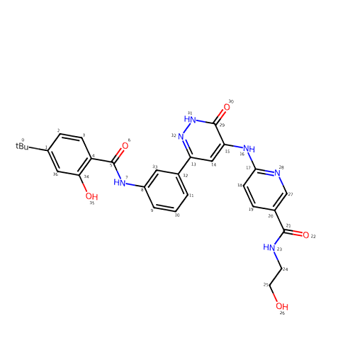 CC(C)(C)c1ccc(C(=O)Nc2cccc(-c3cc(Nc4ccc(C(=O)NCCO)cn4)c(=O)[nH]n3)c2)c(O)c1